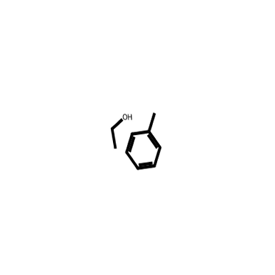 CCO.Cc1ccccc1